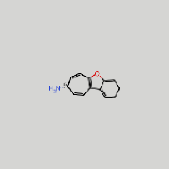 N[C@@H]1C=Cc2oc3c(c2C=C1)=CCCC=3